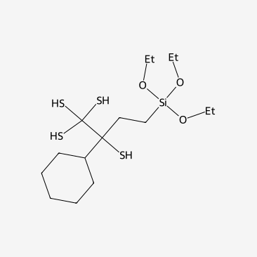 CCO[Si](CCC(S)(C1CCCCC1)C(S)(S)S)(OCC)OCC